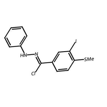 CSc1ccc(C(Cl)=NNc2ccccc2)cc1I